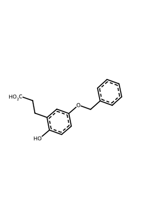 O=C(O)CCc1cc(OCc2ccccc2)ccc1O